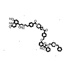 O=C(c1ccc(CCNC[C@H](O)c2ccc(O)c3[nH]c(=O)ccc23)cc1)N1CCC2(CC1)CN(C(=O)c1ccc(COc3cccc(C(O)(C(=O)OCC4CCN(Cc5ccccc5)CC4)c4ccccc4)c3)cc1)C2